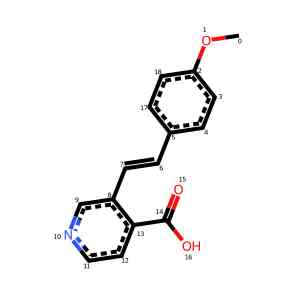 COc1ccc(C=Cc2cnccc2C(=O)O)cc1